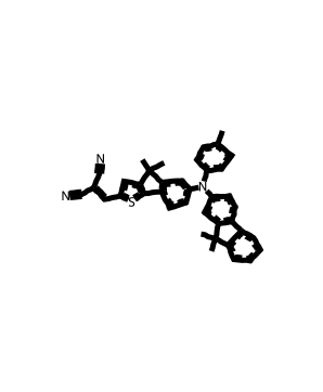 Cc1ccc(N(c2ccc3c(c2)C(C)(C)c2ccccc2-3)c2ccc3c(c2)C(C)(C)c2cc(C=C(C#N)C#N)sc2-3)cc1